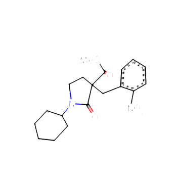 COC(=O)C1(Cc2ccccc2[N+](=O)[O-])CCN(C2CCCCC2)C1=O